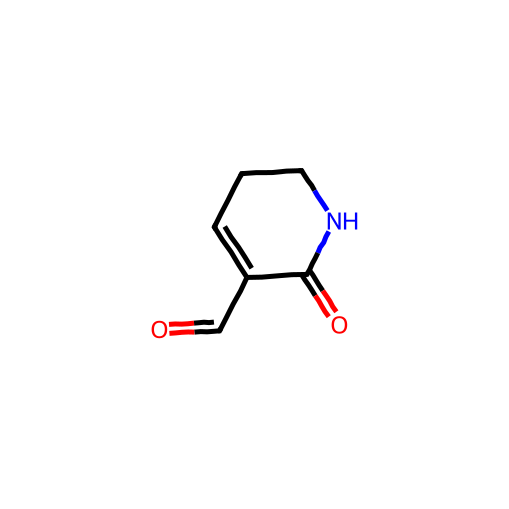 O=CC1=CCCNC1=O